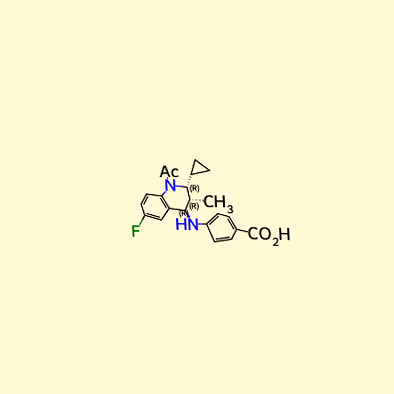 CC(=O)N1c2ccc(F)cc2[C@H](Nc2ccc(C(=O)O)cc2)[C@@H](C)[C@H]1C1CC1